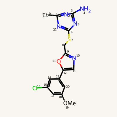 CCc1nc(N)nc(SCc2ncc(-c3cc(Cl)cc(OC)c3)o2)n1